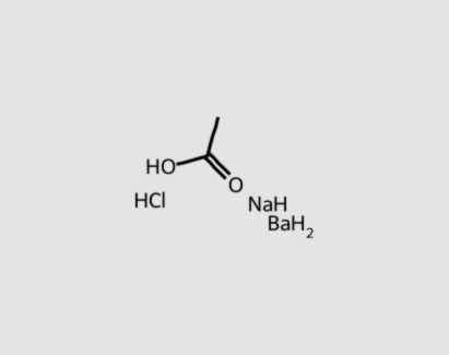 CC(=O)O.Cl.[BaH2].[NaH]